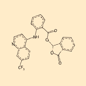 O=C(OC1OC(=O)c2ccccc21)c1ccccc1Nc1ccnc2cc(C(F)(F)F)ccc12